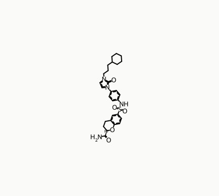 NC(=O)[C@H]1CCc2cc(S(=O)(=O)Nc3ccc(-n4ccn(CCCC5CCCCC5)c4=O)cc3)ccc2O1